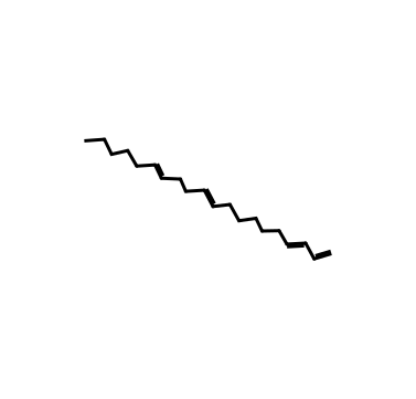 C=CC=CCCCCCC=CCCC=CCCCCC